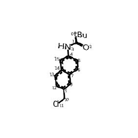 CC(C)(C)C(=O)Nc1ccc2cc(CCl)ccc2c1